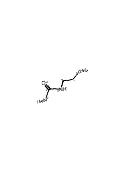 CNC(=O)NCCOC